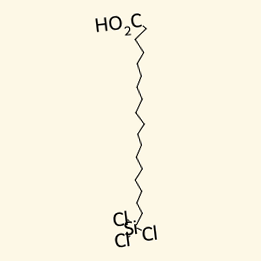 O=C(O)CCCCCCCCCCCCCCCCC[Si](Cl)(Cl)Cl